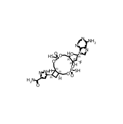 NC(=O)c1cc([C@@H]2C[C@@H]3COP(=O)(S)O[C@H]4[C@@H](F)[C@H](n5cnc6c(N)ncnc65)O[C@@H]4COP(=O)(S)OC[C@H]32)[nH]n1